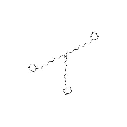 c1ccc(CCCCCCCCN(CCCCCCCCc2ccccc2)CCCCCCCCc2ccccc2)cc1